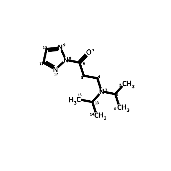 CC(C)N(CCC(=O)n1nccn1)C(C)C